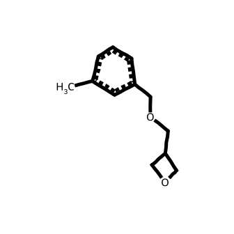 Cc1cccc(COCC2COC2)c1